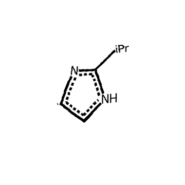 CC(C)c1n[c]c[nH]1